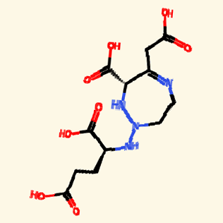 O=C(O)CC[C@H](NN1CCN=C(CC(=O)O)[C@@H](C(=O)O)N1)C(=O)O